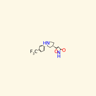 O=c1cc([C@@H]2CCN[C@@H](c3ccc(C(F)(F)F)cc3)C2)o[nH]1